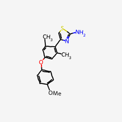 COc1ccc(Oc2cc(C)c(-c3csc(N)n3)c(C)c2)cc1